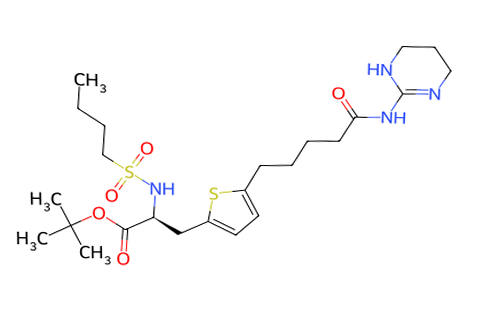 CCCCS(=O)(=O)N[C@@H](Cc1ccc(CCCCC(=O)NC2=NCCCN2)s1)C(=O)OC(C)(C)C